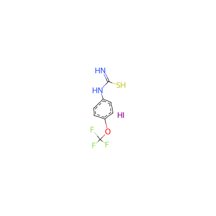 I.N=C(S)Nc1ccc(OC(F)(F)F)cc1